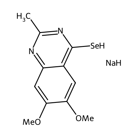 COc1cc2nc(C)nc([SeH])c2cc1OC.[NaH]